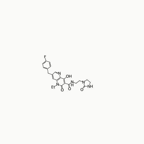 CCn1c(=O)c(C(=O)NCCN2CCNC2=O)c(O)c2ncc(Cc3ccc(F)cc3)cc21